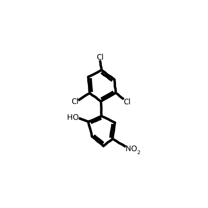 O=[N+]([O-])c1ccc(O)c(-c2c(Cl)cc(Cl)cc2Cl)c1